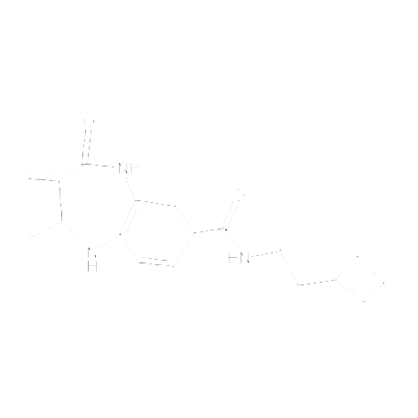 CC1Nc2ccc(C(=O)NCCC3CCC3)cc2NC(=O)C1C